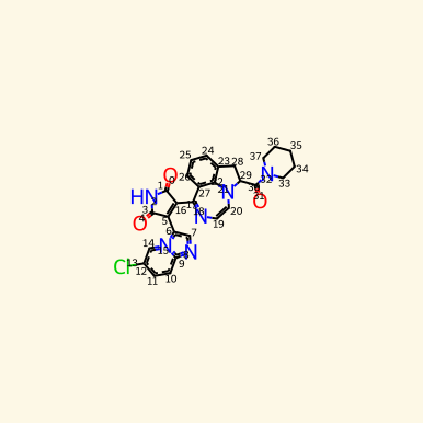 O=C1NC(=O)C(c2cnc3ccc(Cl)cn23)=C1C1=NC=CN2c3c(cccc31)CC2C(=O)N1CCCCC1